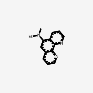 CCN(C)c1cc2cccnc2c2ncccc12